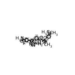 Cc1nc(O[C@H]2CCC[C@@H](N(C)C)C2)c(C(=O)N[C@@H]2CCCN(c3cc(-c4ccc(C(N)=O)c(F)c4)n4ncnc(N)c34)C2)s1